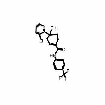 CC1(c2ncccc2Cl)CC=C(C(=O)Nc2ccc(C(F)(F)F)cc2)CC1